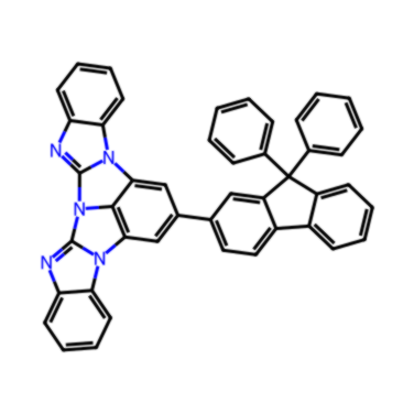 c1ccc(C2(c3ccccc3)c3ccccc3-c3ccc(-c4cc5c6c(c4)n4c7ccccc7nc4n6c4nc6ccccc6n54)cc32)cc1